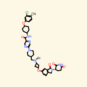 CC(C)N(CC1CCN(c2cnc(C(=O)NC3CCC(Oc4ccc(C#N)c(Cl)c4)CC3)cn2)CC1)C1CC(Oc2ccc3c(c2)C(=O)N([C@@H]2CCC(=O)NC2=O)C3)C1